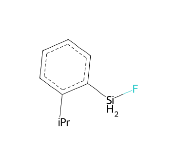 CC(C)c1ccccc1[SiH2]F